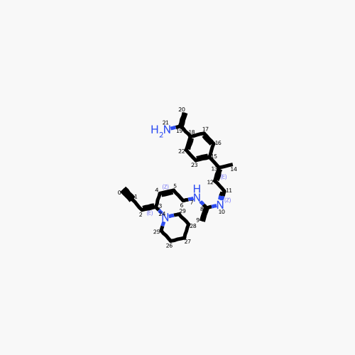 C#C/C=C(\C=C/CNC(=C)/N=C\C=C(/C)c1ccc(C(=C)N)cc1)N1CCCCC1